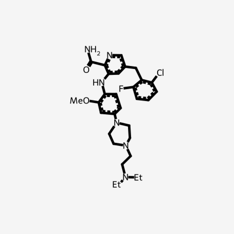 CCN(CC)CCN1CCN(c2ccc(Nc3cc(Cc4c(F)cccc4Cl)cnc3C(N)=O)c(OC)c2)CC1